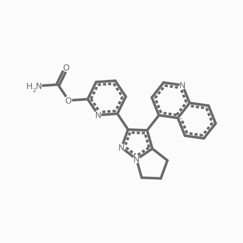 NC(=O)Oc1cccc(-c2nn3c(c2-c2ccnc4ccccc24)CCC3)n1